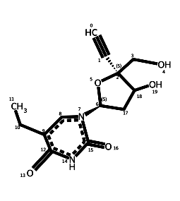 C#C[C@@]1(CO)O[C@H](n2cc(CC)c(=O)[nH]c2=O)CC1O